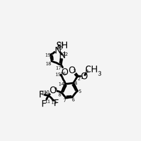 COC(=O)c1cccc(OC(F)(F)F)c1COc1ccn(S)n1